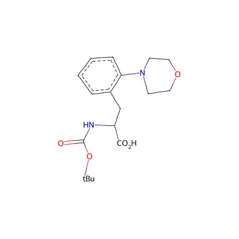 CC(C)(C)OC(=O)NC(Cc1ccccc1N1CCOCC1)C(=O)O